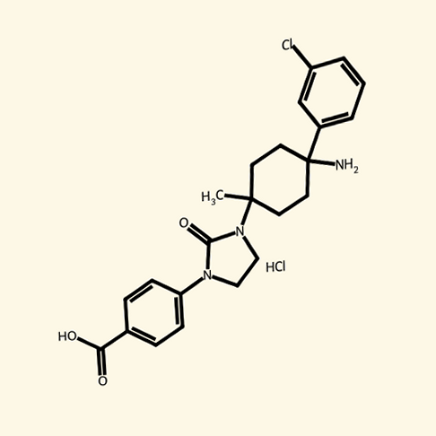 CC1(N2CCN(c3ccc(C(=O)O)cc3)C2=O)CCC(N)(c2cccc(Cl)c2)CC1.Cl